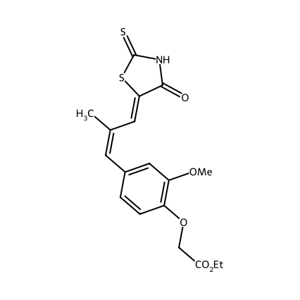 CCOC(=O)COc1ccc(C=C(C)C=C2SC(=S)NC2=O)cc1OC